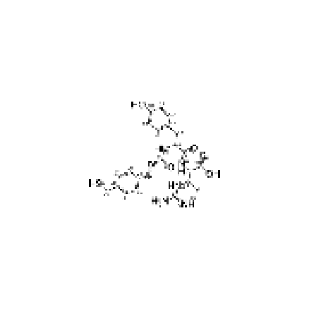 CCC(NC(=N)N)C(NC(=O)C(Cc1ccc(O)cc1)NC(=O)/N=N/c1ccc(CS)cc1)C(=O)O